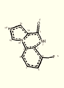 O=c1[nH]c2c(F)cccc2n2cncc12